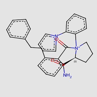 NC(=O)[C@@H]1CCC[N+]1(C(=O)c1ccccc1CCc1ccccc1)c1ccccc1-n1cccc1